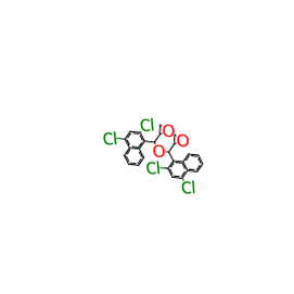 Clc1cc(Cl)c2ccccc2c1C(OC(c1c(Cl)cc(Cl)c2ccccc12)C1CO1)C1CO1